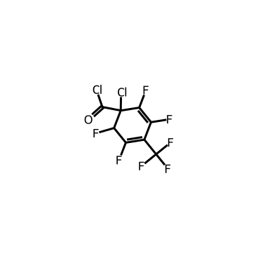 O=C(Cl)C1(Cl)C(F)=C(F)C(C(F)(F)F)=C(F)C1F